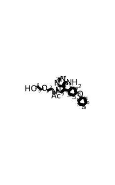 CC(=O)N(CCOCCO)n1cc(-c2ccc(Oc3ccccc3)cc2)c2c(N)ncnc21